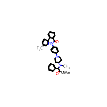 COC(=O)C(c1ccccc1)N(C)C1CCN(c2ccc(NC(=O)c3ccccc3-c3ccc(C(F)(F)F)cc3)cc2)CC1